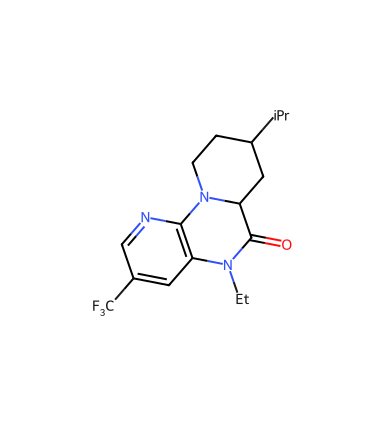 CCN1C(=O)C2CC(C(C)C)CCN2c2ncc(C(F)(F)F)cc21